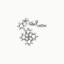 CCCCCCCCCCCC(=O)NCCC[N+](C)(C)Cc1ccccc1.c1ccc([B-](c2ccccc2)(c2ccccc2)c2ccccc2)cc1